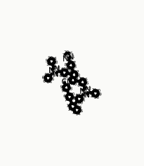 N#Cc1ccc(-c2ccc(-c3ccc4ccccc4c3-c3ccc(-c4nc(-c5ccccc5)nc(-c5cccc(-c6cccc7c(-c8ccc(-c9nc(-c%10ccccc%10)nc(-c%10ccccc%10)n9)cc8)c(-c8ccc(-c9ncccn9)cc8)ccc67)c5)n4)cc3)cc2)cc1